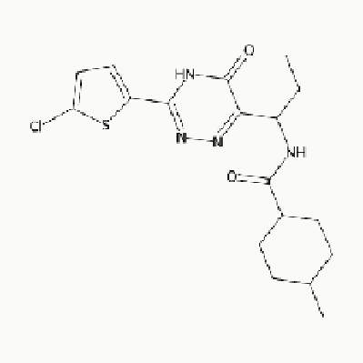 CCC(NC(=O)C1CCC(C)CC1)c1nnc(-c2ccc(Cl)s2)[nH]c1=O